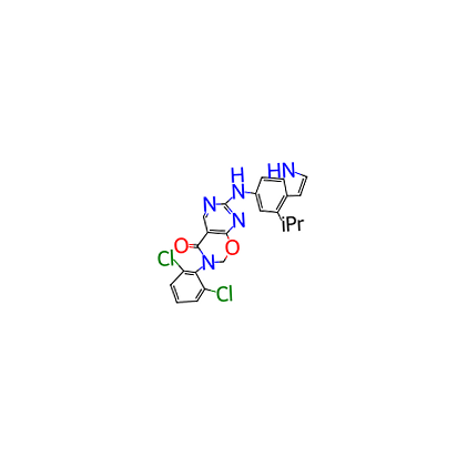 CC(C)c1cc(Nc2ncc3c(n2)OCN(c2c(Cl)cccc2Cl)C3=O)cc2[nH]ccc12